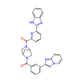 O=C(c1cccc(-c2cn3ccccc3n2)c1)N1CC2CC1CN2C(=O)c1cccc(-c2nc3ccccc3[nH]2)n1